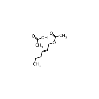 CC(=O)O.CCC/C=C/COC(C)=O